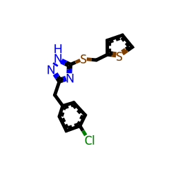 Clc1ccc(Cc2n[nH]c(SCc3cccs3)n2)cc1